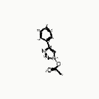 CC(=O)On1cc(-c2ccccc2)nn1